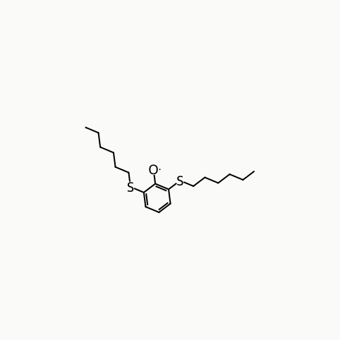 CCCCCCSc1cccc(SCCCCCC)c1[O]